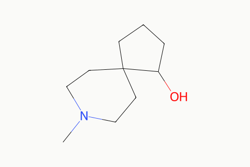 CN1CCC2(CCCC2O)CC1